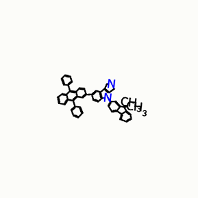 CC1(C)c2ccccc2-c2ccc(-n3c4c(c5cc(-c6ccc7c(-c8ccccc8)c8ccccc8c(-c8ccccc8)c7c6)ccc53)CN=C4)cc21